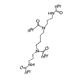 CCCC(=O)NCCCN(CCCCN(CCCNC(=O)CCC)C(=O)CCC)C(=O)CCC